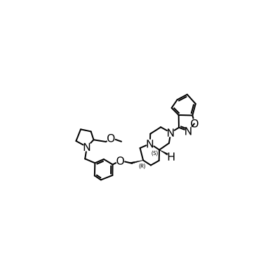 COCC1CCCN1Cc1cccc(OC[C@@H]2CC[C@H]3CN(c4noc5ccccc45)CCN3C2)c1